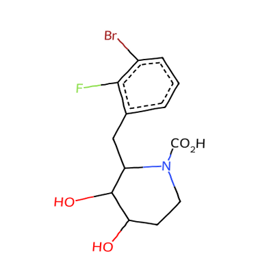 O=C(O)N1CCC(O)C(O)C1Cc1cccc(Br)c1F